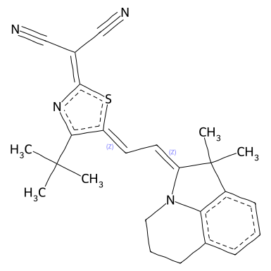 CC(C)(C)c1nc(=C(C#N)C#N)s/c1=C\C=C1/N2CCCc3cccc(c32)C1(C)C